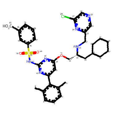 Cc1cccc(C)c1-c1cc(OC[C@@H](CC2CCCCC2)NCc2cncc(Cl)n2)nc(NS(=O)(=O)c2cccc(C(=O)O)c2)n1